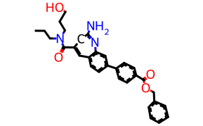 CCCN(CCCO)C(=O)C1=Cc2ccc(-c3ccc(C(=O)OCc4ccccc4)cc3)cc2N=C(N)C1